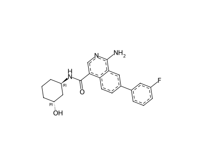 Nc1ncc(C(=O)N[C@@H]2CCC[C@@H](O)C2)c2ccc(-c3cccc(F)c3)cc12